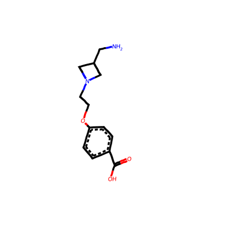 NCC1CN(CCOc2ccc(C(=O)O)cc2)C1